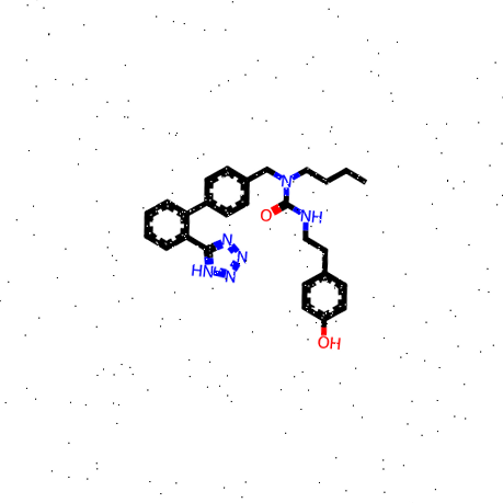 CCCCN(Cc1ccc(-c2ccccc2-c2nnn[nH]2)cc1)C(=O)NCCc1ccc(O)cc1